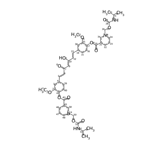 COc1cc(/C=C/C(=O)/C=C(O)/C=C/c2ccc(OC(=O)c3ccc[n+](COC(=O)NC(C)C)c3)c(OC)c2)ccc1OC(=O)c1ccc[n+](COC(=O)NC(C)C)c1